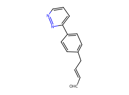 O=CC=CCc1ccc(-c2cccnn2)cc1